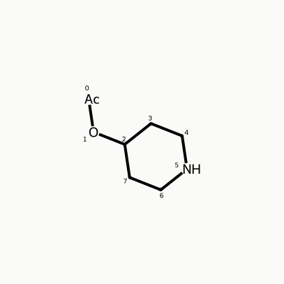 CC(=O)OC1CCNCC1